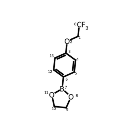 FC(F)(F)COc1ccc(B2OCCO2)cc1